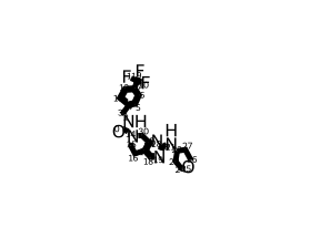 O=C(NCc1ccc(C(F)(F)F)cc1)N1CCc2cnc(NC3CCOCC3)nc2C1